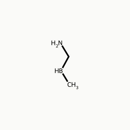 CBCN